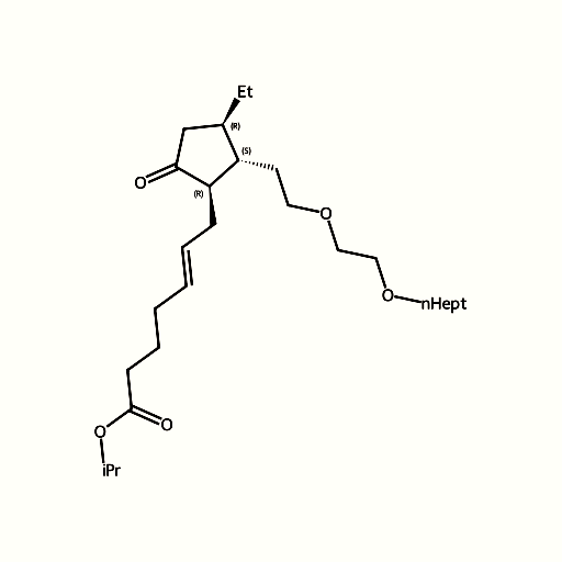 CCCCCCCOCCOCC[C@H]1[C@H](CC)CC(=O)[C@@H]1CC=CCCCC(=O)OC(C)C